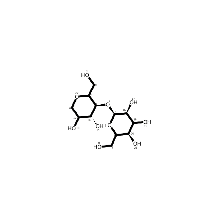 OCC1O[C@@H](O[C@@H]2C(CO)OCC(O)[C@H]2O)[C@@H](O)C(O)[C@H]1O